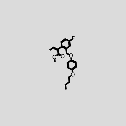 CC=C(C(=O)OC)c1ccc(F)cc1COc1ccc(OCCCC)cc1